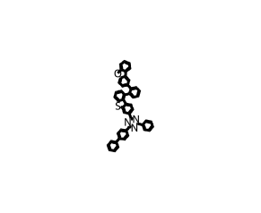 c1ccc(-c2ccc(-c3nc(-c4ccccc4)nc(-c4ccc5c(c4)sc4cccc(-c6ccccc6-c6ccc7oc8ccccc8c7c6)c45)n3)cc2)cc1